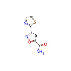 NC(=O)c1cc(-c2nccs2)no1